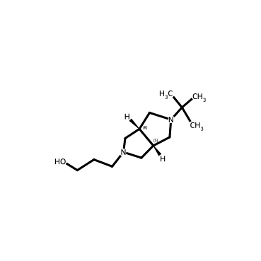 CC(C)(C)N1C[C@H]2CN(CCCO)C[C@H]2C1